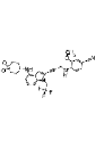 COc1cc(C#N)ccc1NCC#Cc1cc2c(NC3CCS(=O)(=O)CC3)cccc2n1CC(F)(F)F